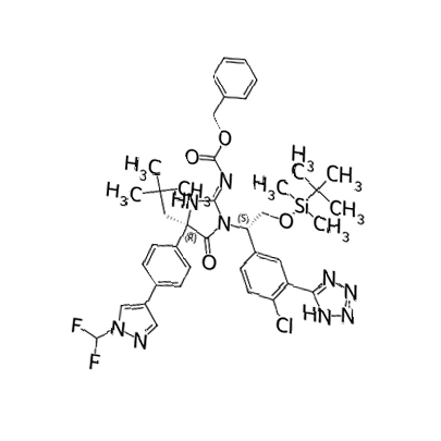 CC(C)(C)C[C@]1(c2ccc(-c3cnn(C(F)F)c3)cc2)NC(=NC(=O)OCc2ccccc2)N([C@H](CO[Si](C)(C)C(C)(C)C)c2ccc(Cl)c(-c3nnn[nH]3)c2)C1=O